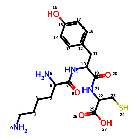 NCCCCC(N)C(=O)NC(Cc1ccc(O)cc1)C(=O)NC(CS)C(=O)O